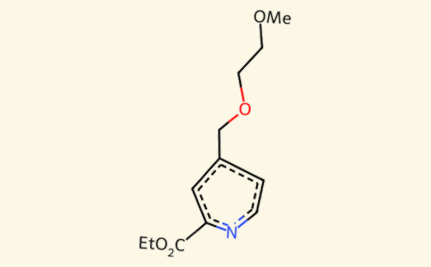 CCOC(=O)c1cc(COCCOC)ccn1